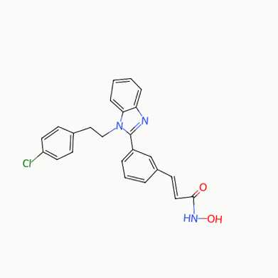 O=C(/C=C/c1cccc(-c2nc3ccccc3n2CCc2ccc(Cl)cc2)c1)NO